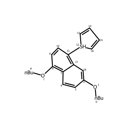 CCCCOc1ccc2c(OCCCC)ccc([SH]3C=CC=C3)c2c1